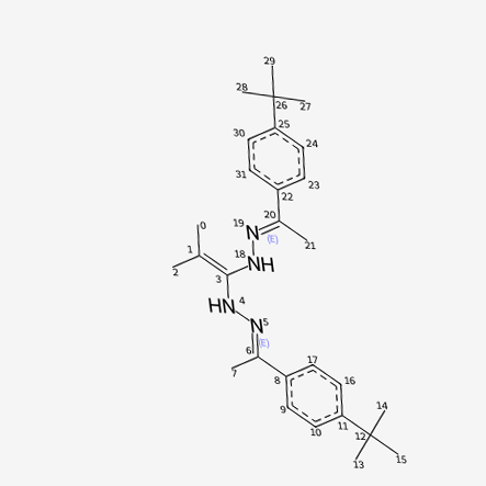 CC(C)=C(N/N=C(\C)c1ccc(C(C)(C)C)cc1)N/N=C(\C)c1ccc(C(C)(C)C)cc1